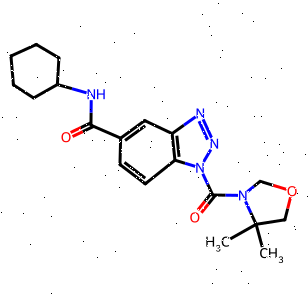 CC1(C)COCN1C(=O)n1nnc2cc(C(=O)NC3CCCCC3)ccc21